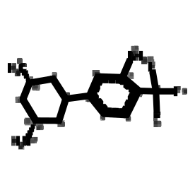 C[C@@H]1CC(c2ccc(C(F)(F)F)c(N)c2)C[C@H](N)C1